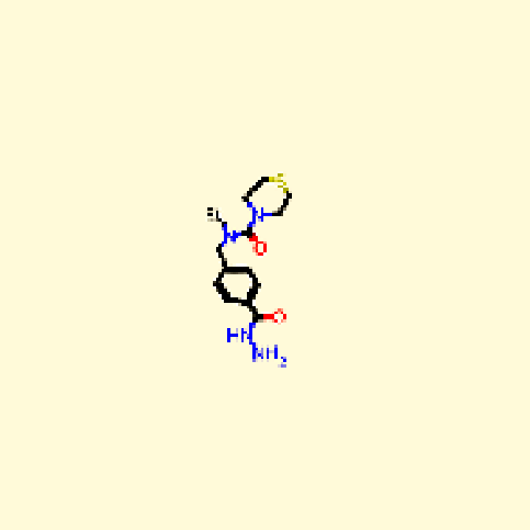 CCN(Cc1ccc(C(=O)NN)cc1)C(=O)N1CCSCC1